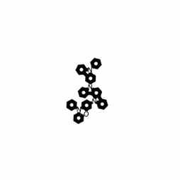 c1ccc(N2c3ccccc3Oc3cc(-n4c5ccccc5c5ccc6c(c7ccccc7n6-c6ccc7c(c6)c6ccccc6n7-c6ccccc6)c54)ccc32)cc1